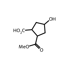 COC(=O)C1CC(O)CC1C(=O)O